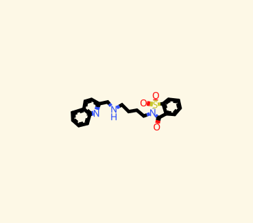 O=C1c2ccccc2S(=O)(=O)N1CCCCNCc1ccc2ccccc2n1